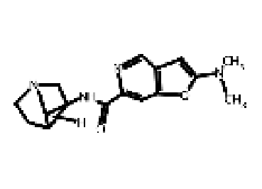 CN(C)c1cc2cnc(C(=O)N[C@H]3CN4CCC3CC4)cc2o1